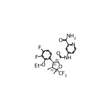 CCOc1c([C@H]2[C@H](C(=O)Nc3ccnc(C(N)=O)c3)O[C@](C)(C(F)(F)F)[C@H]2C)ccc(F)c1F